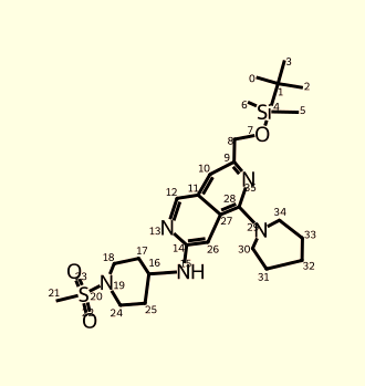 CC(C)(C)[Si](C)(C)OCc1cc2cnc(NC3CCN(S(C)(=O)=O)CC3)cc2c(N2CCCCC2)n1